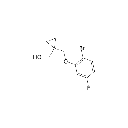 OCC1(COc2cc(F)ccc2Br)CC1